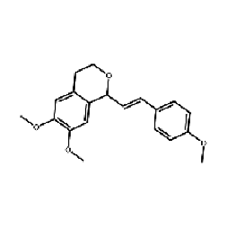 COc1ccc(C=CC2OCCc3cc(OC)c(OC)cc32)cc1